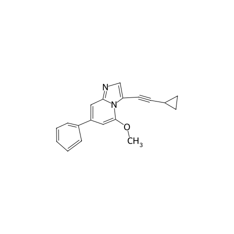 COc1cc(-c2ccccc2)cc2ncc(C#CC3CC3)n12